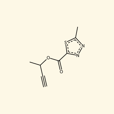 C#CC(C)OC(=O)c1nnc(C)s1